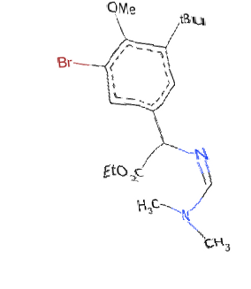 CCOC(=O)C(/N=C\N(C)C)c1cc(Br)c(OC)c(C(C)(C)C)c1